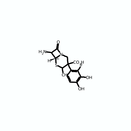 CC1S[C@@H]2C(N)C(=O)N2CC1(C(=O)O)c1ccc(O)c(O)c1F